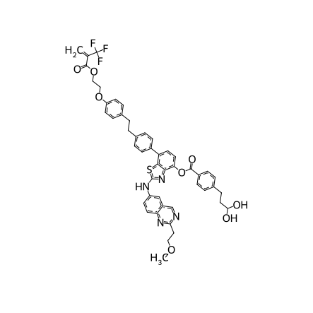 C=C(C(=O)OCCOc1ccc(CCc2ccc(-c3ccc(OC(=O)c4ccc(CCC(O)O)cc4)c4nc(Nc5ccc6nc(CCOC)ncc6c5)sc34)cc2)cc1)C(F)(F)F